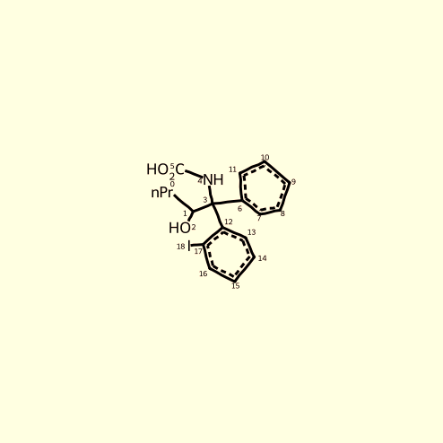 CCCC(O)C(NC(=O)O)(c1ccccc1)c1ccccc1I